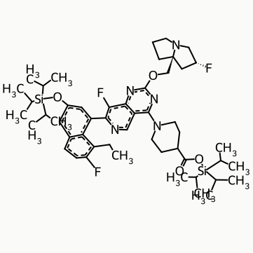 CCc1c(F)ccc2cc(O[Si](C(C)C)(C(C)C)C(C)C)cc(-c3ncc4c(N5CCC(C(=O)O[Si](C(C)C)(C(C)C)C(C)C)CC5)nc(OC[C@@]56CCCN5C[C@H](F)C6)nc4c3F)c12